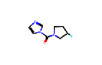 O=C(N1CCC(F)C1)n1ccnc1